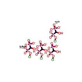 O=P([O-])([O-])C(O)P(=O)([O-])OCl.O=P([O-])([O-])C(O)P(=O)([O-])OCl.O=P([O-])([O-])C(O)P(=O)([O-])OCl.O=P([O-])([O-])C(O)P(=O)([O-])OCl.[Ti+4].[Ti+4].[Ti+4]